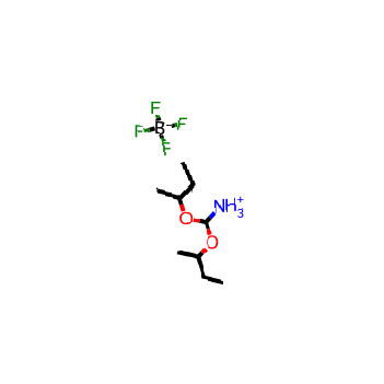 CCC(C)OC([NH3+])OC(C)CC.F[B-](F)(F)F